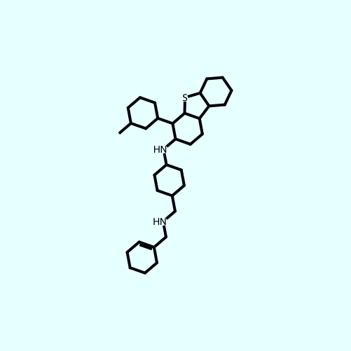 CC1CCCC(C2C(NC3CCC(CNCC4=CCCCC4)CC3)CCC3C4CCCCC4SC32)C1